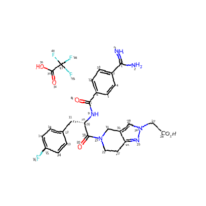 N=C(N)c1ccc(C(=O)N[C@@H](Cc2ccc(F)cc2)C(=O)N2CCc3nn(CC(=O)O)cc3C2)cc1.O=C(O)C(F)(F)F